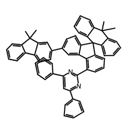 CC1(C)c2ccccc2-c2ccc(-c3ccc4c(c3)-c3c(-c5nc(C6=CC=C=C=C6)cc(-c6ccccc6)n5)cccc3C43c4ccccc4C(C)(C)c4ccccc43)cc21